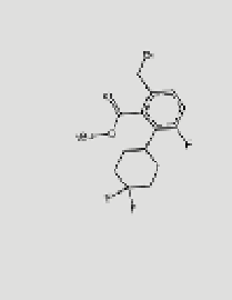 CC(C)(C)OC(=O)c1c(CBr)ccc(F)c1C1CCC(F)(F)CC1